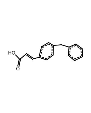 O=C(O)/C=C/c1ccc(Cc2ccccc2)cc1